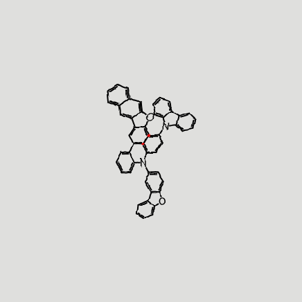 c1ccc(N(c2ccc(-n3c4ccccc4c4ccccc43)cc2)c2ccc3oc4ccccc4c3c2)c(-c2ccc3oc4cc5ccccc5cc4c3c2)c1